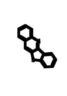 c1ccc2nc3c(cc2c1)sc1ccccc13